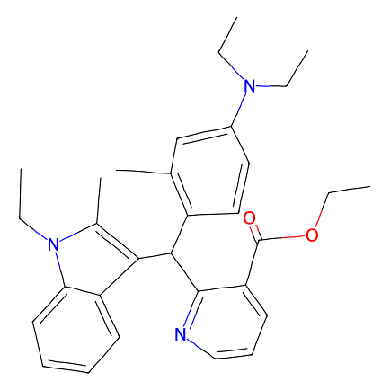 CCOC(=O)c1cccnc1C(c1ccc(N(CC)CC)cc1C)c1c(C)n(CC)c2ccccc12